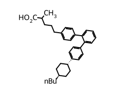 CCCC[C@H]1CC[C@H](c2ccc(-c3ccccc3-c3ccc(CCCC(C)C(=O)O)cc3)cc2)CC1